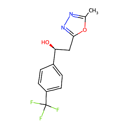 Cc1nnc(C[C@H](O)c2ccc(C(F)(F)F)cc2)o1